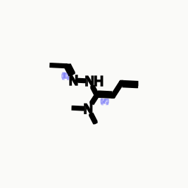 C=C/C=C(\N/N=C/C)N(C)C